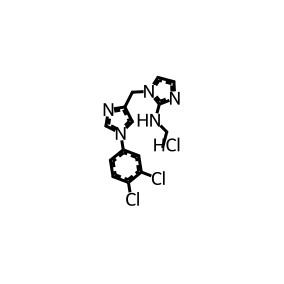 CCNc1nccn1Cc1cn(-c2ccc(Cl)c(Cl)c2)cn1.Cl